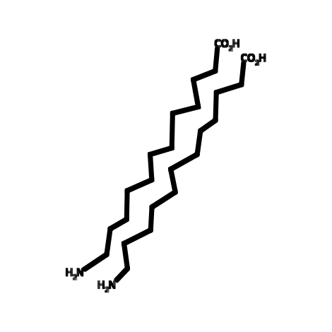 NCCCCCCCCCCCC(=O)O.NCCCCCCCCCCCC(=O)O